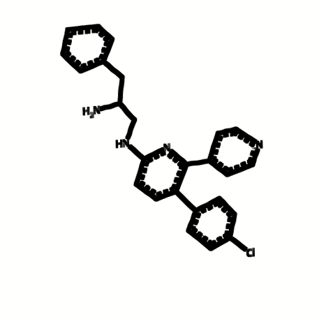 NC(CNc1ccc(-c2ccc(Cl)cc2)c(-c2ccncc2)n1)Cc1ccccc1